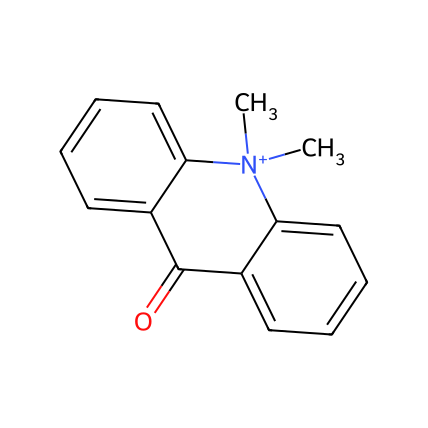 C[N+]1(C)c2ccccc2C(=O)c2ccccc21